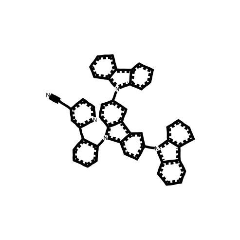 N#Cc1ccnc(-c2ccccc2-n2c3ccc(-n4c5ccccc5c5ccccc54)cc3c3cc(-n4c5ccccc5c5ccccc54)ccc32)c1